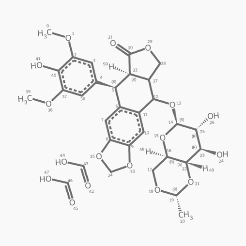 COc1cc([C@@H]2c3cc4c(cc3C(O[C@@H]3O[C@@H]5CO[C@@H](C)O[C@H]5[C@H](O)[C@H]3O)C3COC(=O)[C@@H]32)OCO4)cc(OC)c1O.O=CO.O=CO